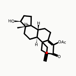 C#CCC12CCC(=O)C(OC(C)=O)=C1CC[C@@H]1[C@@H]2CC[C@]2(C)[C@@H](O)CC[C@@H]12